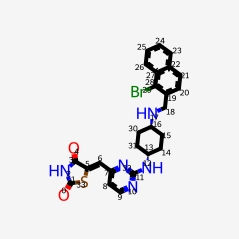 O=C1NC(=O)/C(=C/c2ccnc(N[C@H]3CC[C@H](NCc4ccc5ccccc5c4Br)CC3)n2)S1